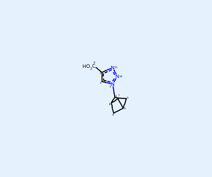 O=C(O)c1cn(C2CC3CC2C3)nn1